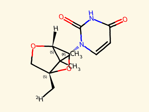 [2H]C[C@]12CO[C@H]([C@H](n3ccc(=O)[nH]c3=O)O1)C2(C)C